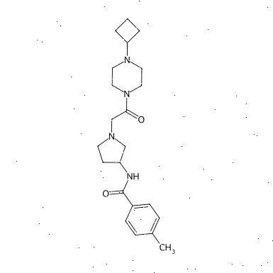 Cc1ccc(C(=O)NC2CCN(CC(=O)N3CCN(C4CCC4)CC3)C2)cc1